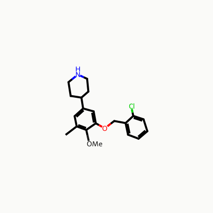 COc1c(C)cc(C2CCNCC2)cc1OCc1ccccc1Cl